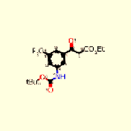 CCOC(=O)CC(=O)c1cc(NC(=O)OC(C)(C)C)cc(C(F)(F)F)c1